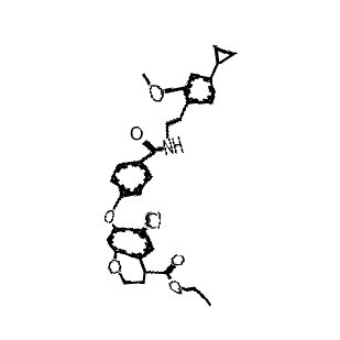 CCOC(=O)C1CCOc2cc(Oc3ccc(C(=O)NCCc4ccc(C5CC5)cc4OC)cc3)c(Cl)cc21